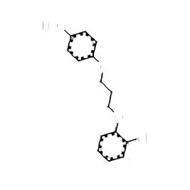 Cc1ccc(OCCCOc2ccccc2Cl)cc1